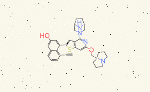 C#Cc1cccc2cc(O)cc(-c3cc4c(N5CC6CCC(C5)N6)nc(OCC56CCCN5CCC6)cc4s3)c12